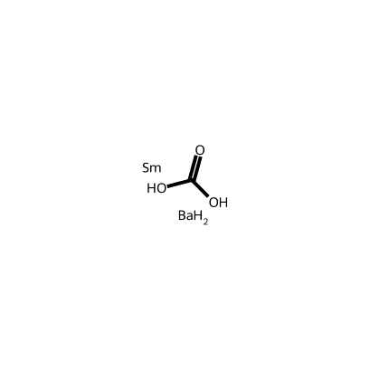 O=C(O)O.[BaH2].[Sm]